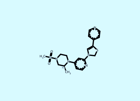 C[C@H]1CN(S(C)(=O)=O)CCN1c1ccnc(N2C=C(c3ccncc3)SC2)c1